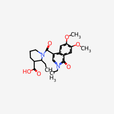 CCC1C(C(=O)O)CCCN1C(=O)c1cn(CC)c(=O)c2cc(OC)c(OC)cc12